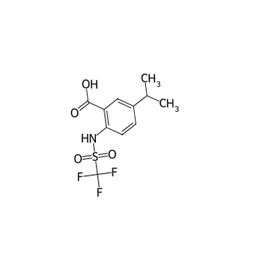 CC(C)c1ccc(NS(=O)(=O)C(F)(F)F)c(C(=O)O)c1